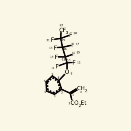 C=C(C(=O)OCC)c1ccccc1OC(F)(F)C(F)(F)C(F)(F)C(F)(F)C(F)(F)F